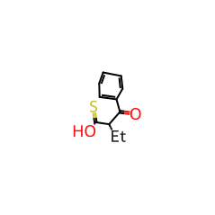 CCC(C(=O)c1ccccc1)C(O)=S